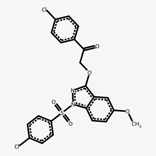 COc1ccc2c(c1)c(OCC(=O)c1ccc(Cl)cc1)nn2S(=O)(=O)c1ccc(Cl)cc1